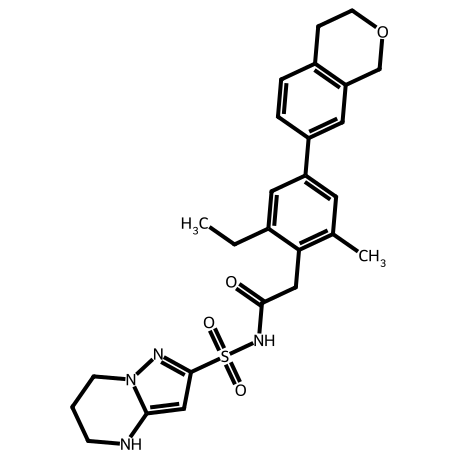 CCc1cc(-c2ccc3c(c2)COCC3)cc(C)c1CC(=O)NS(=O)(=O)c1cc2n(n1)CCCN2